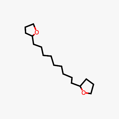 C(CCCCC1CCCO1)CCCCC1CCCO1